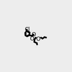 CCCCOCC(CCC)OC(=O)c1cccc(Cl)c1